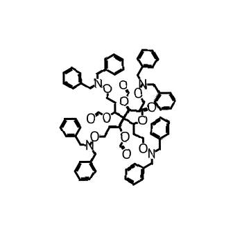 O=COC(CCON(Cc1ccccc1)Cc1ccccc1)C(C(CCON(Cc1ccccc1)Cc1ccccc1)OC=O)(C(CCON(Cc1ccccc1)Cc1ccccc1)OC=O)C(CCON(Cc1ccccc1)Cc1ccccc1)OC=O